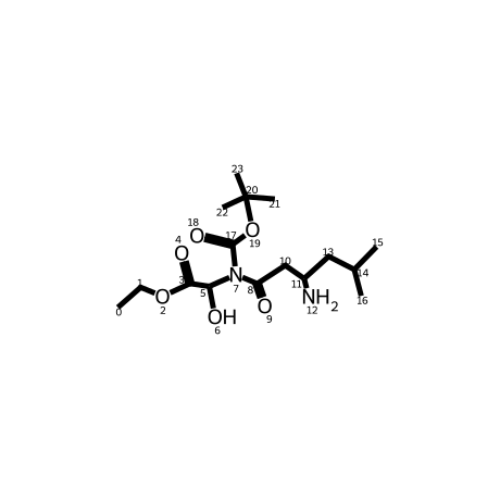 CCOC(=O)C(O)N(C(=O)CC(N)CC(C)C)C(=O)OC(C)(C)C